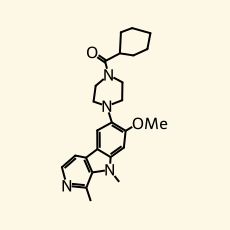 COc1cc2c(cc1N1CCN(C(=O)C3CCCCC3)CC1)c1ccnc(C)c1n2C